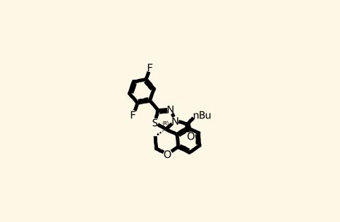 CCCCC(=O)N1N=C(c2cc(F)ccc2F)S[C@@]12CCOc1ccccc12